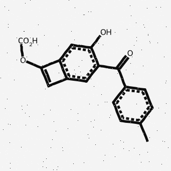 Cc1ccc(C(=O)c2cc3c(cc2O)C(OC(=O)O)=C3)cc1